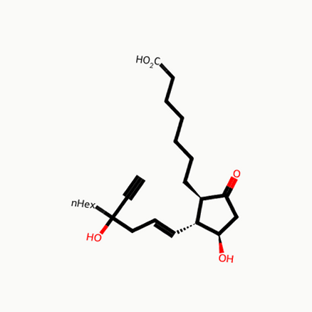 C#CC(O)(CC=C[C@H]1[C@H](O)CC(=O)[C@@H]1CCCCCCC(=O)O)CCCCCC